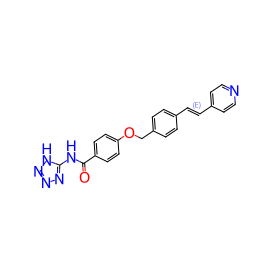 O=C(Nc1nnn[nH]1)c1ccc(OCc2ccc(/C=C/c3ccncc3)cc2)cc1